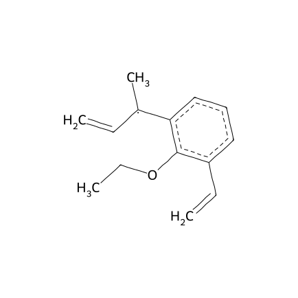 C=C[C](C)c1cccc(C=C)c1OCC